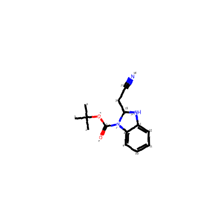 CC(C)(C)OC(=O)N1c2ccccc2NC1CC#N